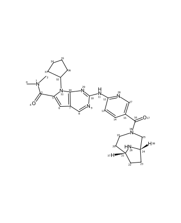 CN(C)C(=O)c1cc2cnc(Nc3ccc(C(=O)N4CC[C@H]5CC[C@@H](C4)N5)cn3)nc2n1C1CCCC1